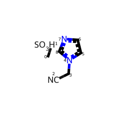 CS(=O)(=O)O.N#CCn1ccnc1